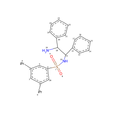 CC(C)c1cc(C(C)C)cc(S(=O)(=O)NC(c2ccccc2)C(N)c2ccccc2)c1